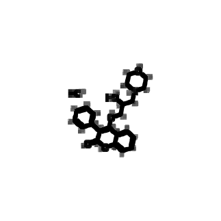 Cl.O=c1oc2ccccc2c(OCC(O)CN2CCOCC2)c1-c1ccccc1